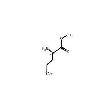 CSCC[C@@H](N)C(=O)OC(C)(C)C